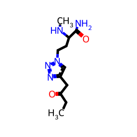 CCC(=O)Cc1cn(CCC(NC)C(N)=O)nn1